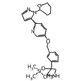 C[Si](C)(C)OC1(c2cccc(COc3ccc(-c4ccnn4C4CCCCO4)nc3)c2)CNC1